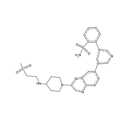 CS(=O)(=O)CCNC1CCN(c2cnc3ccc(-c4cncc(-c5ccccc5S(N)(=O)=O)c4)cc3n2)CC1